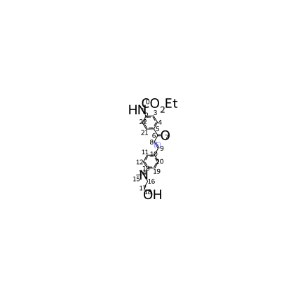 CCOC(=O)Nc1ccc(C(=O)/C=C/c2ccc(N(C)CCO)cc2)cc1